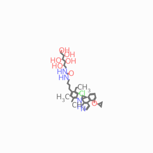 CCc1c(Cl)c(NC2(c3cnccc3-c3ccccc3OC3CC3)CC2)c(CC)c(C)c1CCCCNC(=O)NC[C@H](O)[C@@H](O)[C@H](O)[C@H](O)CO